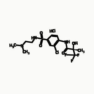 CN(C)CCNS(=O)(=O)c1ccc(NC(=O)[C@@](C)(O)C(F)(F)F)c(Cl)c1.Cl